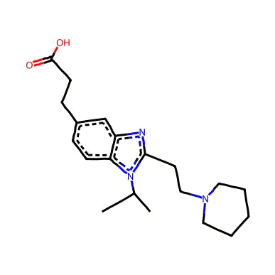 CC(C)n1c(CCN2CCCCC2)nc2cc(CCC(=O)O)ccc21